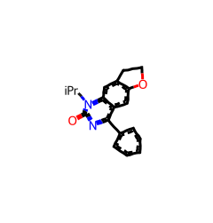 CC(C)n1c(=O)nc(-c2ccccc2)c2cc3c(cc21)CCO3